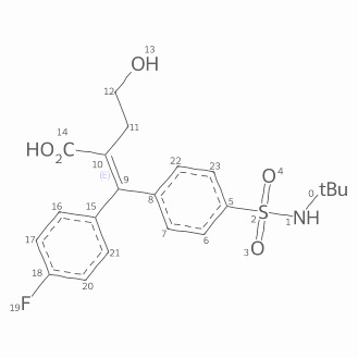 CC(C)(C)NS(=O)(=O)c1ccc(/C(=C(\CCO)C(=O)O)c2ccc(F)cc2)cc1